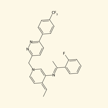 CC=C1C=CN(Cc2ccc(-c3ccc(C(F)(F)F)cc3)nn2)C=C1/N=C(\C)c1ccccc1F